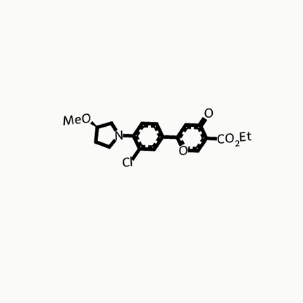 CCOC(=O)c1coc(-c2ccc(N3CC[C@@H](OC)C3)c(Cl)c2)cc1=O